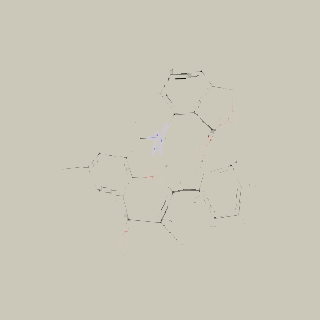 Cc1cc(C(C)Nc2cccc3c2C(=O)OC3)c2oc(-c3ccccc3)c(C)c(=O)c2c1